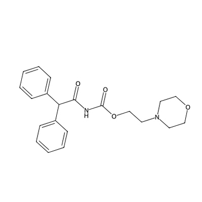 O=C(NC(=O)C(c1ccccc1)c1ccccc1)OCCN1CCOCC1